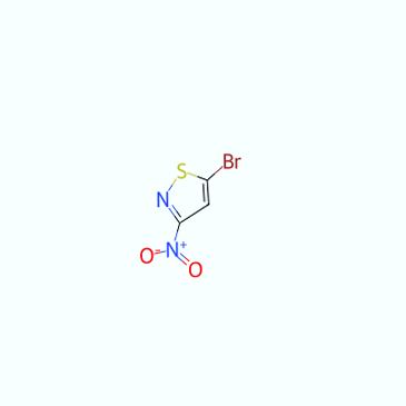 O=[N+]([O-])c1cc(Br)sn1